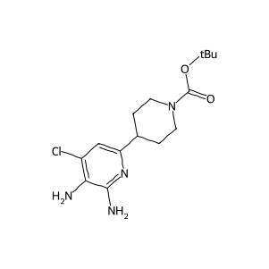 CC(C)(C)OC(=O)N1CCC(c2cc(Cl)c(N)c(N)n2)CC1